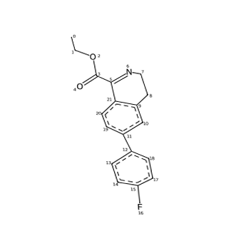 CCOC(=O)C1=NCCc2cc(-c3ccc(F)cc3)ccc21